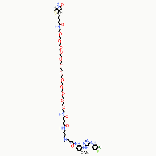 COc1ccc(NC(=O)/C=C/CN(C)CCCCNC(=O)CCCC(=O)NCCOCCOCCOCCOCCOCCOCCOCCOCCOCOCCOCCOCCNC(=O)CCCC[C@@H]2SC[C@@H]3NC(=O)C[C@@H]32)cc1Nc1cc(Nc2ccc(F)c(Cl)c2)ncn1